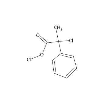 CC(Cl)(C(=O)OCl)c1ccccc1